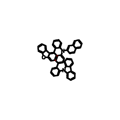 c1ccc(N(c2ccc(-c3ccccc3-n3c4ccccc4c4ccccc43)cc2)c2ccc3ccccc3c2)c(-c2cccc3oc4ccccc4c23)c1